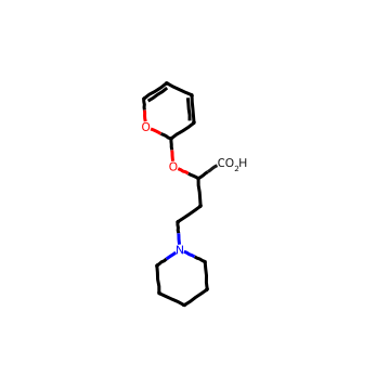 O=C(O)C(CCN1CCCCC1)OC1C=CC=CO1